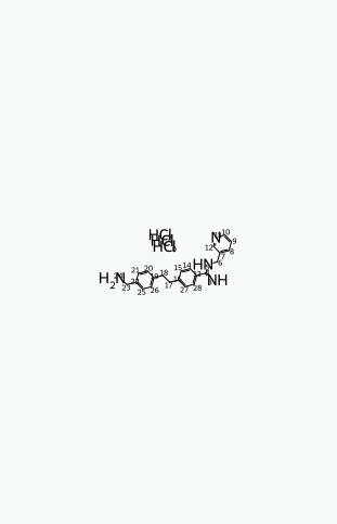 Cl.Cl.Cl.N=C(NCc1cccnc1)c1ccc(CCc2ccc(CN)cc2)cc1